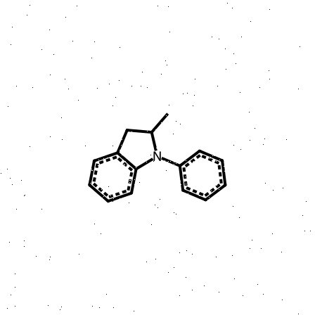 CC1Cc2ccccc2N1c1ccccc1